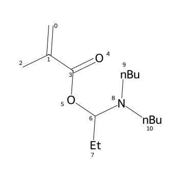 C=C(C)C(=O)OC(CC)N(CCCC)CCCC